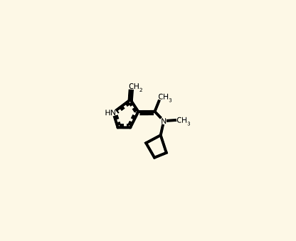 C=c1[nH]cc/c1=C(/C)N(C)C1CCC1